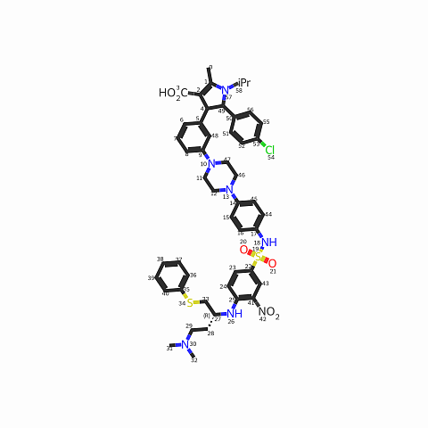 CC1=C(C(=O)O)C(c2cccc(N3CCN(c4ccc(NS(=O)(=O)c5ccc(N[C@H](CCN(C)C)CSc6ccccc6)c([N+](=O)[O-])c5)cc4)CC3)c2)C(c2ccc(Cl)cc2)N1C(C)C